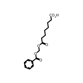 O=C(O)CCCCCCC(=O)OCOC(=O)c1ccccc1